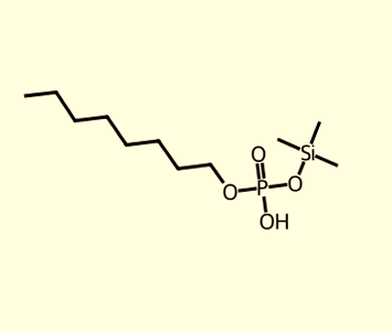 CCCCCCCCOP(=O)(O)O[Si](C)(C)C